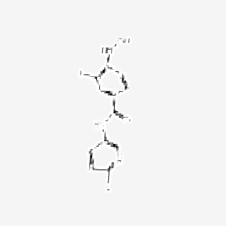 O=C(Nc1cnc(Cl)nc1)c1ccc(NO)c(F)c1